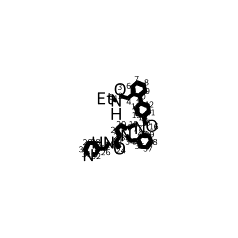 CCNC(=O)Cc1ccccc1-c1ccc(C(=O)N2Cc3ccc(C(=O)NCc4cccnc4)n3Cc3ccccc32)cc1